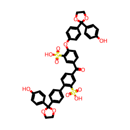 O=C(c1ccc(Oc2ccc(C3(c4ccc(O)cc4)OCCO3)cc2)c(S(=O)(=O)O)c1)c1ccc(-c2ccc(C3(c4ccc(O)cc4)OCCO3)cc2)c(S(=O)(=O)O)c1